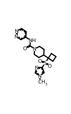 Cn1cnc(S(=O)(=O)C2(C3CCN(C(=O)Nc4ccnnc4)CC3)CCC2)c1